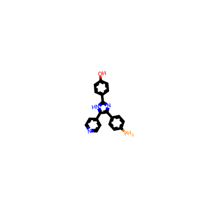 Oc1ccc(-c2nc(-c3ccc(P)cc3)c(-c3ccncc3)[nH]2)cc1